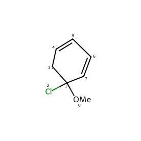 COC1(Cl)[CH]C=CC=C1